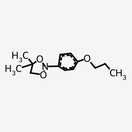 CCCOc1ccc(N2OCC(C)(C)O2)cc1